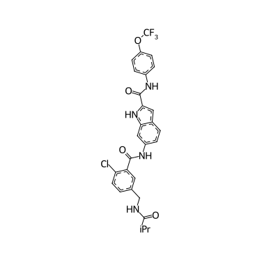 CC(C)C(=O)NCc1ccc(Cl)c(C(=O)Nc2ccc3cc(C(=O)Nc4ccc(OC(F)(F)F)cc4)[nH]c3c2)c1